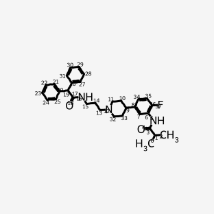 CC(C)C(=O)Nc1cc(C2CCN(CCCNC(=O)C(c3ccccc3)c3ccccc3)CC2)ccc1F